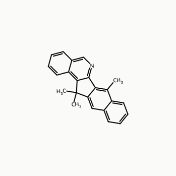 Cc1c2c(cc3ccccc13)C(C)(C)c1c-2ncc2ccccc12